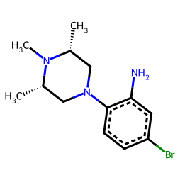 C[C@@H]1CN(c2ccc(Br)cc2N)C[C@H](C)N1C